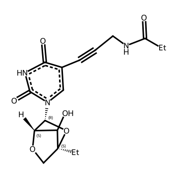 CCC(=O)NCC#Cc1cn([C@@H]2O[C@@]3(CC)CO[C@H]2C3O)c(=O)[nH]c1=O